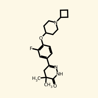 CC1(C)CC(c2ccc(OC3CCN(C4CCC4)CC3)c(F)c2)=NNC1=O